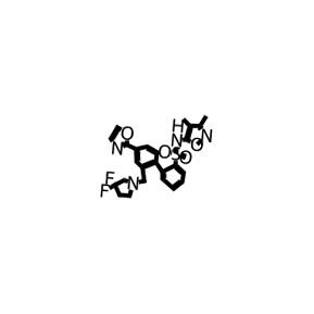 Cc1noc(NS(=O)(=O)c2ccccc2-c2ccc(-c3ncco3)cc2CN2CCC(F)(F)C2)c1C